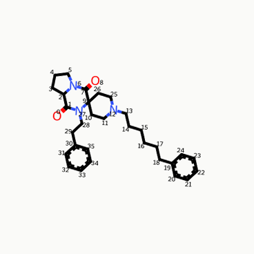 O=C1C2CCCN2C(=O)C2(CCN(CCCCCCc3ccccc3)CC2)N1CCc1ccccc1